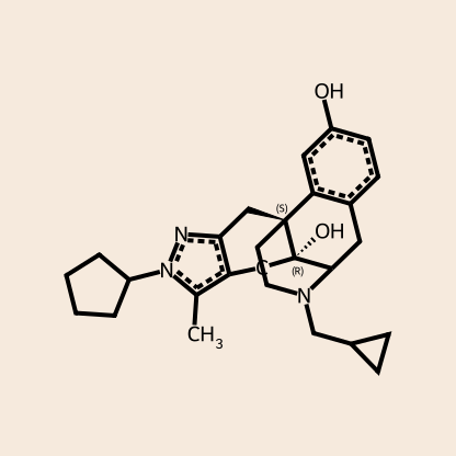 Cc1c2c(nn1C1CCCC1)C[C@@]13CCN(CC4CC4)C(Cc4ccc(O)cc41)[C@@]3(O)C2